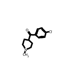 CN1CCC(C(=O)c2ccc(Cl)cc2)CC1